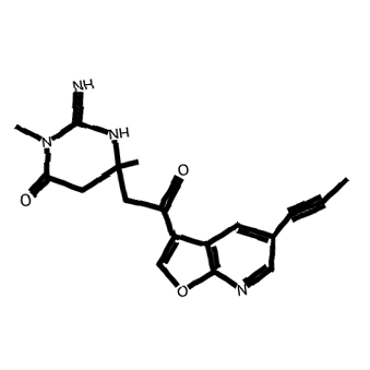 CC#Cc1cnc2occ(C(=O)CC3(C)CC(=O)N(C)C(=N)N3)c2c1